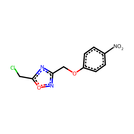 O=[N+]([O-])c1ccc(OCc2noc(CCl)n2)cc1